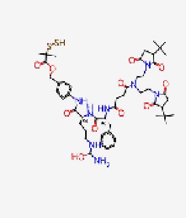 CC(C)(SS)C(=O)OCc1ccc(NC(=O)[C@H](CCCNC(N)O)NC(=O)[C@@H](Cc2ccccc2)NC(=O)CCC(=O)N(CCN2C(=O)CC(C(C)(C)C)C2=O)CCN2C(=O)CC(C(C)(C)C)C2=O)cc1